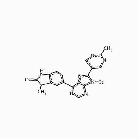 CCn1c(-c2cnc(C)nc2)nc2c(-c3ccc4c(c3)C(C)C(=O)N4)ncnc21